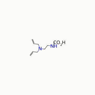 C=CCN(CC=C)CCNC(=O)O